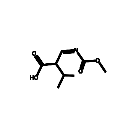 COC(=O)/N=C\C(C(=O)O)C(C)C